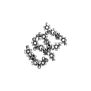 Cc1ccc(C(=O)N2CCCN(c3nc(Cc4ccc(F)cc4)ns3)CC2)cc1.Fc1ccc(Cc2nsc(N3CCN(c4cccc(C(F)(F)F)c4)CC3)n2)cc1.O=C(c1ccc(Cl)cc1)N1CCCN(c2nc(Cc3ccc(F)cc3)ns2)CC1.O=C(c1ccc2c(c1)OCO2)N1CCCN(c2nc(Cc3ccc(F)cc3)ns2)CC1